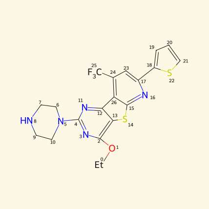 CCOc1nc(N2CCNCC2)nc2c1sc1nc(-c3cccs3)cc(C(F)(F)F)c12